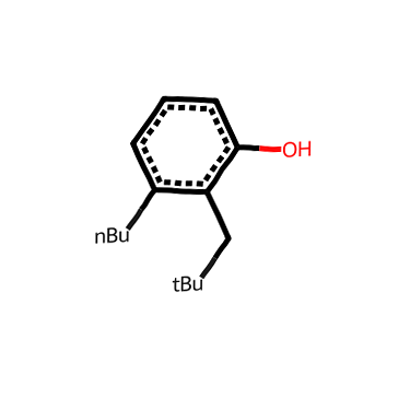 CCCCc1cccc(O)c1CC(C)(C)C